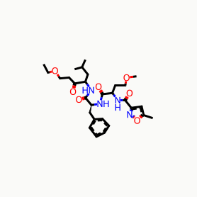 CCOCCC(=O)C(CC(C)C)NC(=O)[C@H](Cc1ccccc1)NC(=O)C(CCOC)NC(=O)c1cc(C)on1